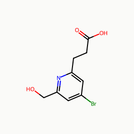 O=C(O)CCc1cc(Br)cc(CO)n1